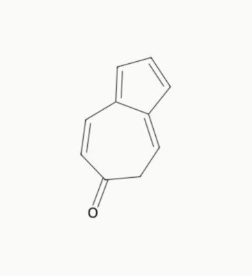 O=C1C=CC2=CC=CC2=CC1